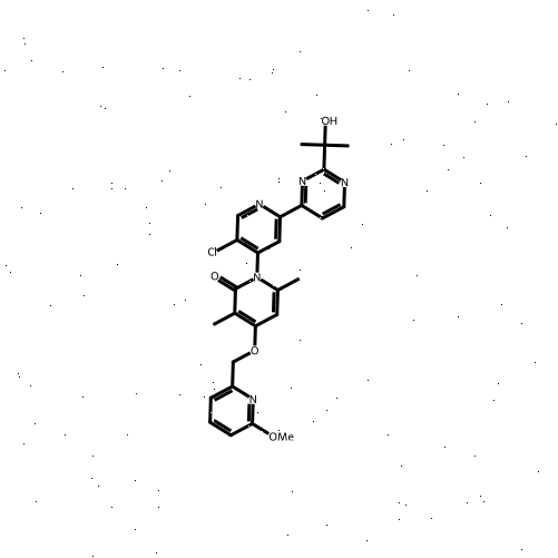 COc1cccc(COc2cc(C)n(-c3cc(-c4ccnc(C(C)(C)O)n4)ncc3Cl)c(=O)c2C)n1